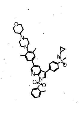 Cc1ccccc1S(=O)(=O)n1cc(-c2ccc(S(C)(=O)=NC3CC3)cc2)c2cc(-c3cc(C)c(N4CCN(C5CCOCC5)CC4)c(C)c3)cnc21